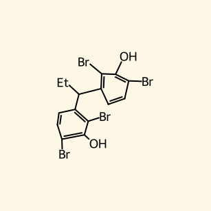 CCC(c1ccc(Br)c(O)c1Br)c1ccc(Br)c(O)c1Br